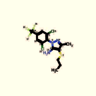 CCCSc1c(C)nn(-c2c(Cl)cc(C(F)(F)F)cc2Cl)c1N